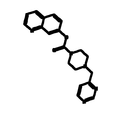 O=C(Oc1ccc2cccnc2c1)N1CCN(Cc2ccncn2)CC1